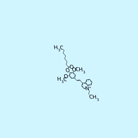 CCCCCCCC(=O)Oc1c(OC)cc(C=Cc2cc[n+](CCC)c3ccccc23)cc1OC